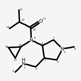 CNCC1CN(C)CC1N(C(=O)C(C)C)C1CC1